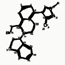 Cn1cc(-c2cccc3c2CCN(C2COc4ccccc42)C3CBr)c(C(F)(F)F)n1